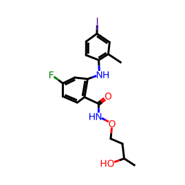 Cc1cc(I)ccc1Nc1cc(F)ccc1C(=O)NOCCC(C)O